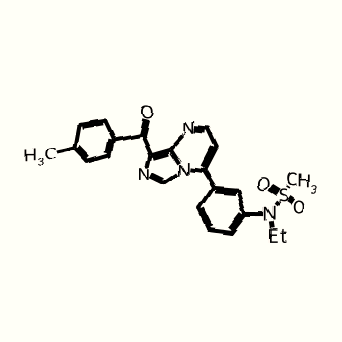 CCN(c1cccc(-c2ccnc3c(C(=O)c4ccc(C)cc4)ncn23)c1)S(C)(=O)=O